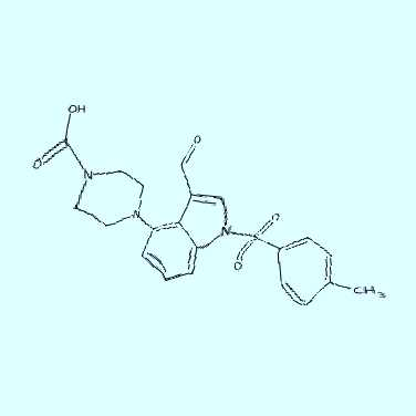 Cc1ccc(S(=O)(=O)n2cc(C=O)c3c(N4CCN(C(=O)O)CC4)cccc32)cc1